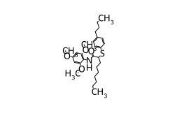 CCCCCCCC(Sc1ccc(CCCC)cc1)C(=O)Nc1c(OC)cc(OC)cc1OC